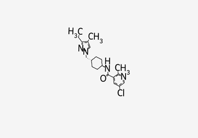 CCc1nn(C[C@H]2CC[C@H](NC(=O)c3cc(Cl)cnc3C)CC2)cc1C